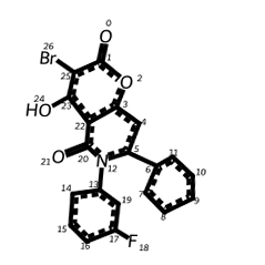 O=c1oc2cc(-c3ccccc3)n(-c3cccc(F)c3)c(=O)c2c(O)c1Br